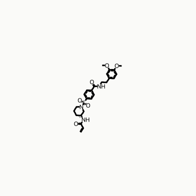 C=CC(=O)N[C@H]1CCCN(S(=O)(=O)c2ccc(C(=O)NCCc3ccc(OC)c(OC)c3)cc2)C1